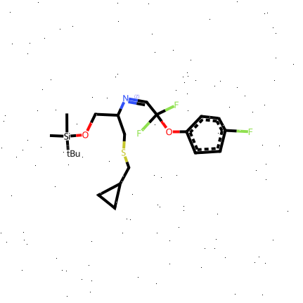 CC(C)(C)[Si](C)(C)OCC(CSCC1CC1)/N=C\C(F)(F)Oc1ccc(F)cc1